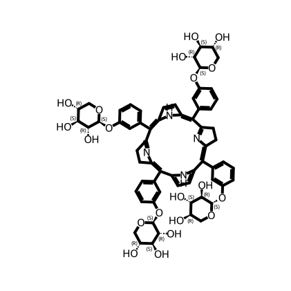 O[C@@H]1[C@@H](O)[C@H](Oc2cccc(-c3c4nc(c(-c5cccc(O[C@@H]6OC[C@@H](O)[C@H](O)[C@H]6O)c5)c5ccc([nH]5)c(-c5cccc(O[C@@H]6OC[C@@H](O)[C@H](O)[C@H]6O)c5)c5nc(c(-c6cccc(O[C@@H]7OC[C@@H](O)[C@H](O)[C@H]7O)c6)c6ccc3[nH]6)CC5)CC4)c2)OC[C@H]1O